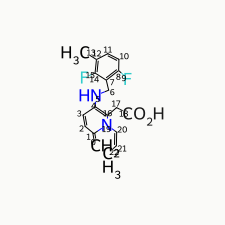 C=C1C=CC(NCc2c(F)ccc(C)c2F)=C(CC(=O)O)N1/C=C\C